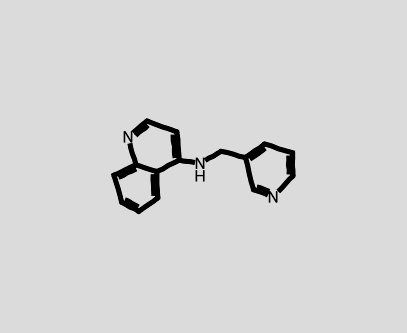 c1cncc(CNc2ccnc3ccccc23)c1